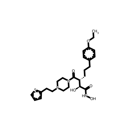 CCOc1ccc(CCC[C@@H](C(=O)N2CCN(CCc3cccs3)CC2)[C@H](O)C(=O)NO)cc1